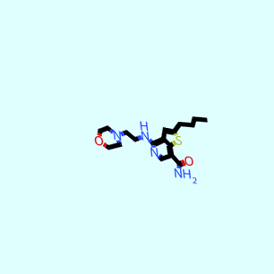 CCCCc1cc2c(NCCN3CCOCC3)ncc(C(N)=O)c2s1